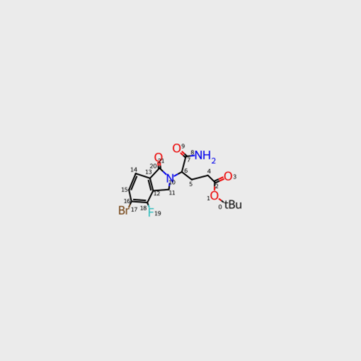 CC(C)(C)OC(=O)CCC(C(N)=O)N1Cc2c(ccc(Br)c2F)C1=O